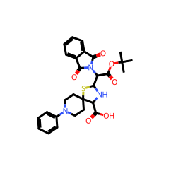 CC(C)(C)OC(=O)C(C1NC(C(=O)O)C2(CCN(c3ccccc3)CC2)S1)N1C(=O)c2ccccc2C1=O